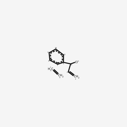 C=C.C=CC(Cl)c1ccccc1